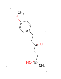 COc1ccc(CCC(=O)CC[C@H](C)O)cc1